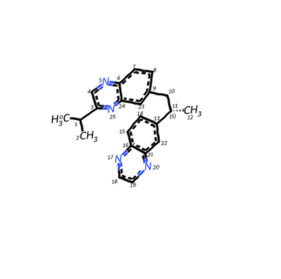 CC(C)c1cnc2ccc(C[C@H](C)c3ccc4nccnc4c3)cc2n1